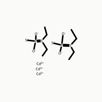 CCS(CC)=P([O-])([O-])[S-].CCS(CC)=P([O-])([O-])[S-].[Cd+2].[Cd+2].[Cd+2]